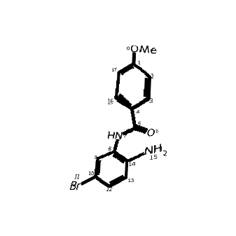 COc1ccc(C(=O)Nc2cc(Br)ccc2N)cc1